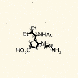 CCC(CC)[C@@H](NC(C)=O)[C@H]1C[C@H](C(=O)O)C[C@@H]1NC=NN